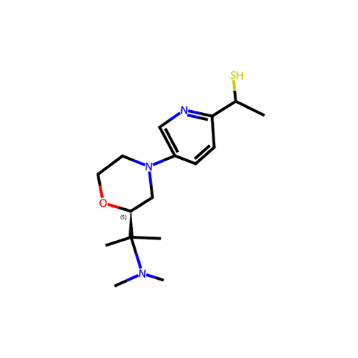 CC(S)c1ccc(N2CCO[C@H](C(C)(C)N(C)C)C2)cn1